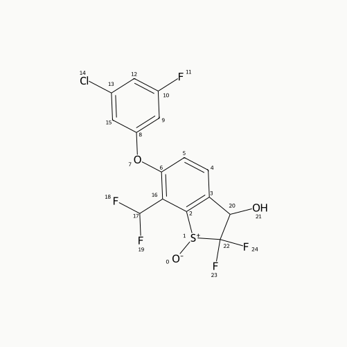 [O-][S+]1c2c(ccc(Oc3cc(F)cc(Cl)c3)c2C(F)F)C(O)C1(F)F